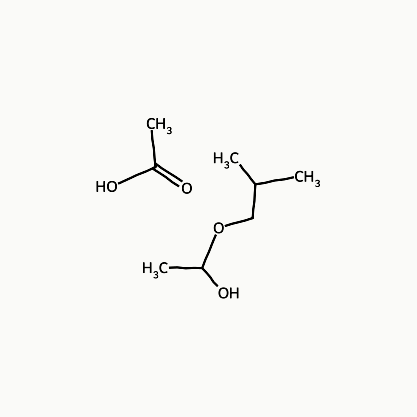 CC(=O)O.CC(C)COC(C)O